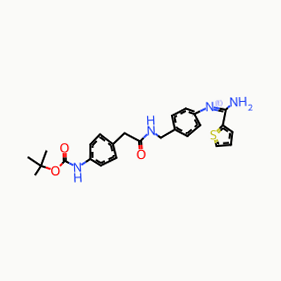 CC(C)(C)OC(=O)Nc1ccc(CC(=O)NCc2ccc(/N=C(/N)c3cccs3)cc2)cc1